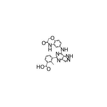 Cc1c(C(=O)O)cccc1-c1nc(Nc2ccc3c(c2)NC(=O)CO3)c2[nH]ncc2n1